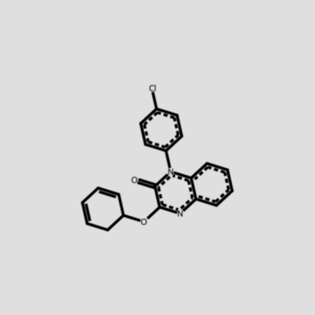 O=c1c(OC2C=CC=CC2)nc2ccccc2n1-c1ccc(Cl)cc1